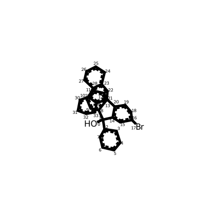 OC(c1ccccc1)(c1ccccc1)c1cc(Br)ccc1-c1cc2ccccc2c2ccccc12